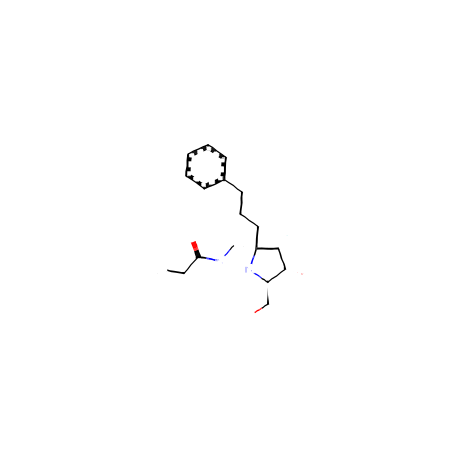 CCC(=O)NC[C@@]1(CCCc2ccccc2)N[C@H](CO)[C@@H](O)[C@H]1F